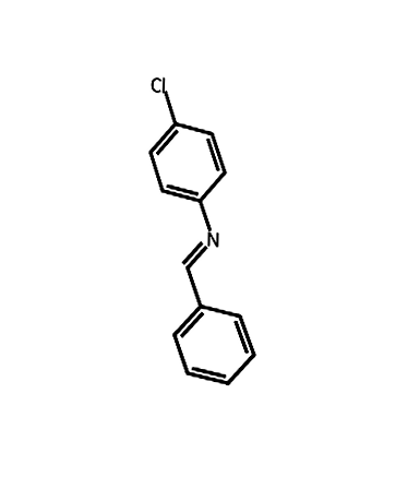 Clc1ccc(N=Cc2ccccc2)cc1